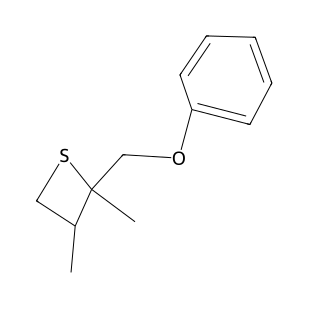 CC1CSC1(C)COc1ccccc1